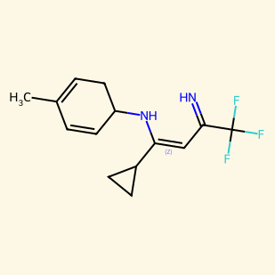 CC1=CCC(N/C(=C\C(=N)C(F)(F)F)C2CC2)C=C1